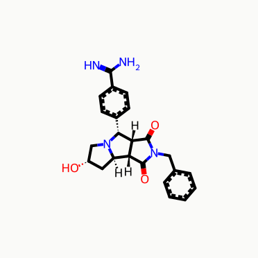 N=C(N)c1ccc([C@@H]2[C@@H]3C(=O)N(Cc4ccccc4)C(=O)[C@@H]3[C@H]3C[C@H](O)CN32)cc1